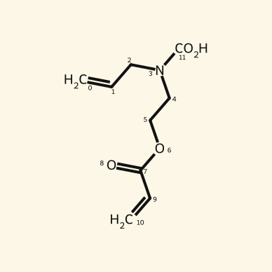 C=CCN(CCOC(=O)C=C)C(=O)O